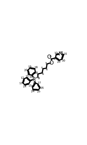 O=C(OCCCCCC[P+](c1ccccc1)(c1ccccc1)c1ccccc1)c1cccnc1